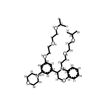 CC(C)OCCOCCOc1cc(C2COc3ccccc3N2CCOCCOC(C)C)cc(N2CCOCC2)c1